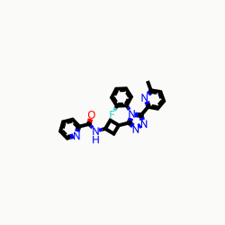 Cc1cccc(-c2nnc(C3CC(NC(=O)c4ccccn4)C3)n2-c2ccccc2F)n1